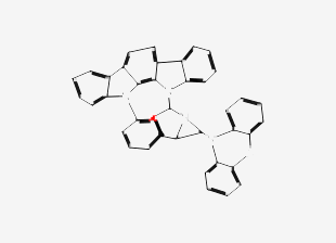 C1=CC(n2c3ccccc3c3ccc4c5ccccc5n(-c5ccccc5)c4c32)N2C1C2N1c2ccccc2Sc2ccccc21